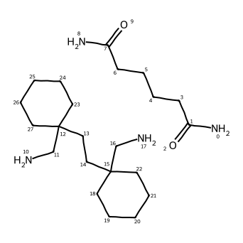 NC(=O)CCCCC(N)=O.NCC1(CCC2(CN)CCCCC2)CCCCC1